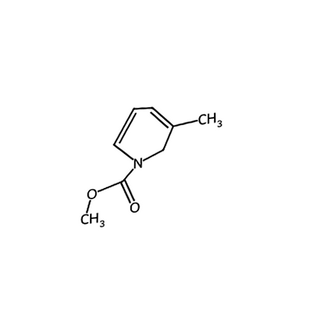 COC(=O)N1C=CC=C(C)C1